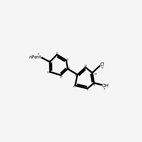 CCCCCc1ccc(-c2ccc(O)c(Cl)c2)cc1